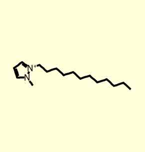 CCCCCCCCCCCC[n+]1cccn1C